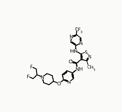 Cc1nsc(Nc2cnc(C(F)(F)F)cn2)c1C(=O)Nc1ccc(OC2CCN(C(CF)CF)CC2)nc1